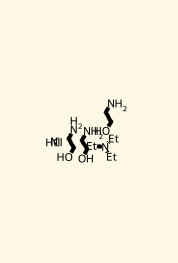 CCN(CC)CC.Cl.NCCO.NCCO.NCCO.[Ni]